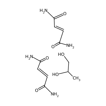 CC(O)CO.NC(=O)C=CC(N)=O.NC(=O)C=CC(N)=O